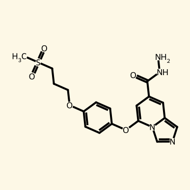 CS(=O)(=O)CCCOc1ccc(Oc2cc(C(=O)NN)cc3cncn23)cc1